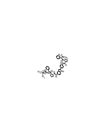 CN(C)[C@@H](C(=O)N1CCC[C@H]1C(=O)Nc1ccc(-c2cc3cc(NC(=O)[C@@H]4CCCN4C(=O)[C@H](NC(=O)OC(C)(C)C)c4ccccc4)ccc3[nH]2)cc1)c1ccccc1